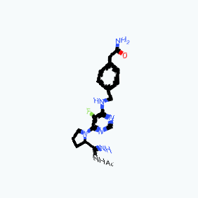 CC(=O)NC(=N)C1CCCN1c1ncnc(NCc2ccc(CC(N)=O)cc2)c1F